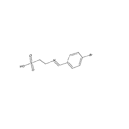 O=S(=O)(O)CCN=Cc1ccc(Br)cc1